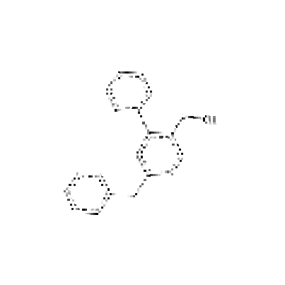 COc1ccc(Cc2ccccc2)cc1-c1ccccc1